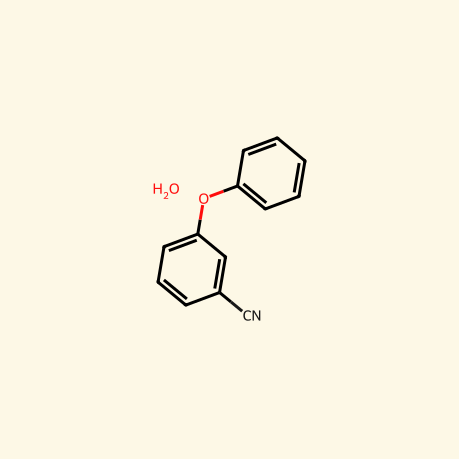 N#Cc1cccc(Oc2ccccc2)c1.O